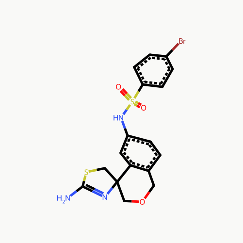 NC1=NC2(COCc3ccc(NS(=O)(=O)c4ccc(Br)cc4)cc32)CS1